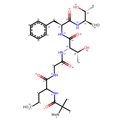 CNC(C)(C)C(=O)NC(CCC(=O)O)C(=O)NCC(=O)N[C@H](C(=O)N[C@@H](Cc1ccccc1)C(=O)N[C@H](C=O)[C@@H](C)O)[C@@H](C)O